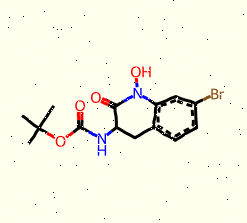 CC(C)(C)OC(=O)NC1Cc2ccc(Br)cc2N(O)C1=O